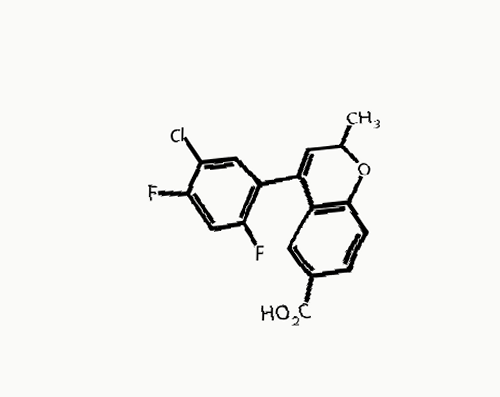 CC1C=C(c2cc(Cl)c(F)cc2F)c2cc(C(=O)O)ccc2O1